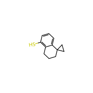 Sc1cccc2c1CCCC21CC1